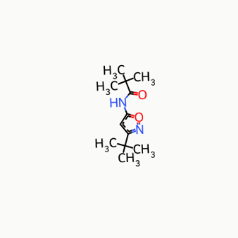 CC(C)(C)C(=O)Nc1cc(C(C)(C)C)no1